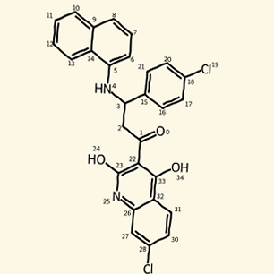 O=C(CC(Nc1cccc2ccccc12)c1ccc(Cl)cc1)c1c(O)nc2cc(Cl)ccc2c1O